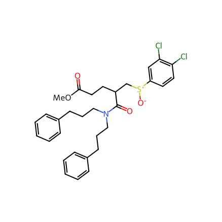 COC(=O)CCC(C[S+]([O-])c1ccc(Cl)c(Cl)c1)C(=O)N(CCCc1ccccc1)CCCc1ccccc1